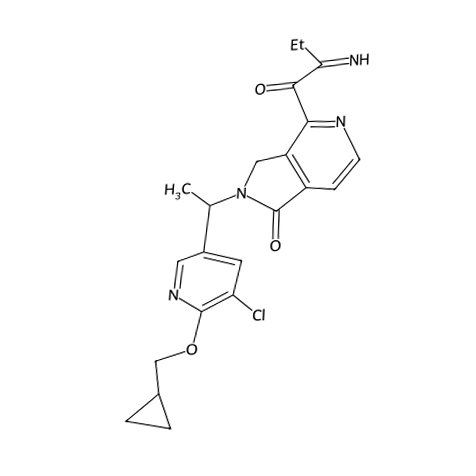 CCC(=N)C(=O)c1nccc2c1CN(C(C)c1cnc(OCC3CC3)c(Cl)c1)C2=O